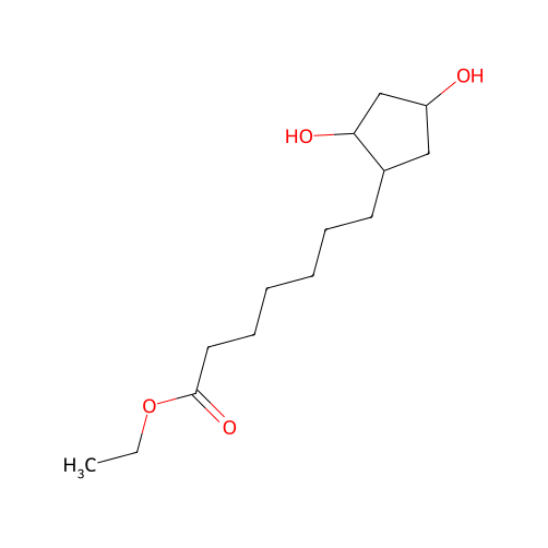 CCOC(=O)CCCCCCC1CC(O)CC1O